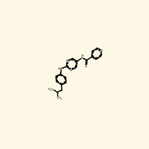 CC(C)Cc1ccc(Nc2ncc(NC(=O)c3ccncc3)cn2)cc1